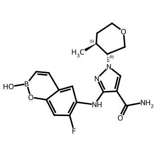 C[C@H]1CCOC[C@@H]1n1cc(C(N)=O)c(Nc2cc3c(cc2F)OB(O)C=C3)n1